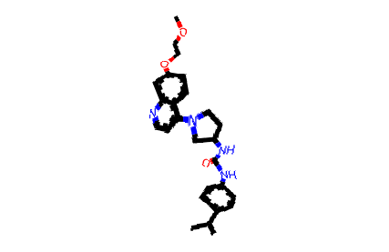 COCCOc1ccc2c(N3CCC(NC(=O)Nc4ccc(C(C)C)cc4)C3)ccnc2c1